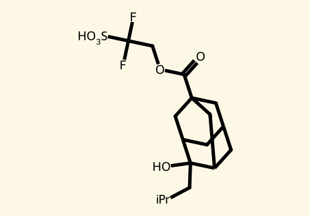 CC(C)CC1(O)C2CC3CC1CC(C(=O)OCC(F)(F)S(=O)(=O)O)(C3)C2